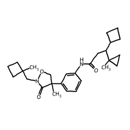 CC1(CN2OCC(C)(c3cccc(NC(=O)CC(C4CCC4)C4(C)CC4)c3)C2=O)CCC1